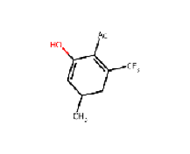 CC(=O)C1=C(C(F)(F)F)CC(C)C=C1O